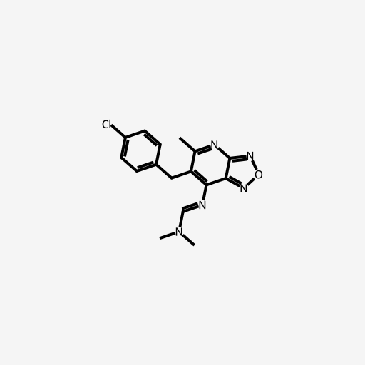 Cc1nc2nonc2c(/N=C/N(C)C)c1Cc1ccc(Cl)cc1